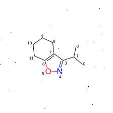 CC(C)c1noc2c1CCCC2